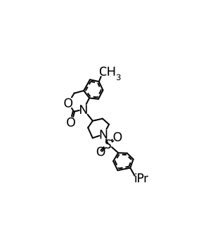 Cc1ccc2c(c1)COC(=O)N2C1CCN(S(=O)(=O)c2ccc(C(C)C)cc2)CC1